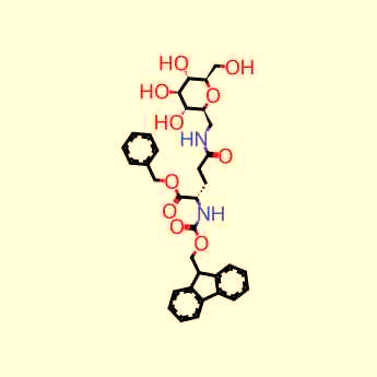 O=C(CC[C@H](NC(=O)OCC1c2ccccc2-c2ccccc21)C(=O)OCc1ccccc1)NC[C@@H]1O[C@H](CO)[C@@H](O)[C@H](O)[C@H]1O